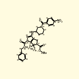 CC(C)(C)OC(=O)N1Cc2c(NC3CCCN(C(=O)c4ccc([N+](=O)[O-])cc4)C3)nn(C(=O)OCc3ccccc3)c2C1(C)C